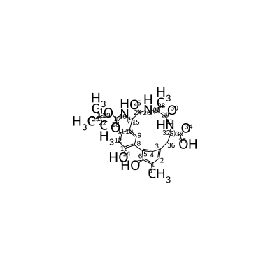 Cc1cc2cc(c1O)-c1cc(ccc1O)[C@H](NC(=O)OC(C)(C)C)C(=O)N[C@@H](C)C(=O)N[C@H](C(=O)O)C2